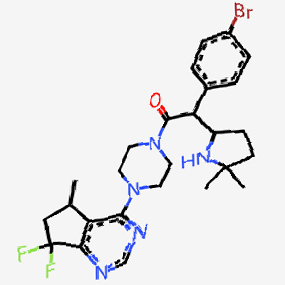 CC1CC(F)(F)c2ncnc(N3CCN(C(=O)C(c4ccc(Br)cc4)C4CCC(C)(C)N4)CC3)c21